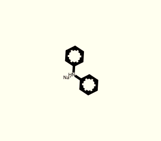 [Na+].c1ccc(Nc2ccccc2)cc1